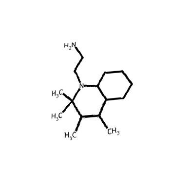 CC1C2CCCCC2N(CCN)C(C)(C)C1C